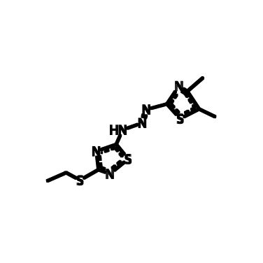 CCSc1nsc(NN=Nc2nc(C)c(C)s2)n1